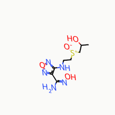 CC(O)C[S+]([O-])CCNc1nonc1/C(N)=N\O